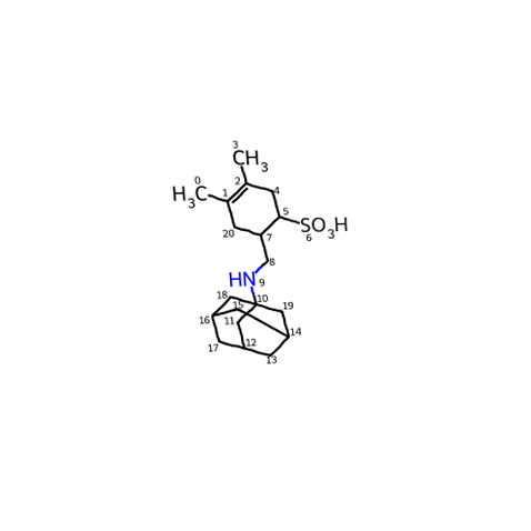 CC1=C(C)CC(S(=O)(=O)O)C(CNC23CC4CC(CC(C4)C2)C3)C1